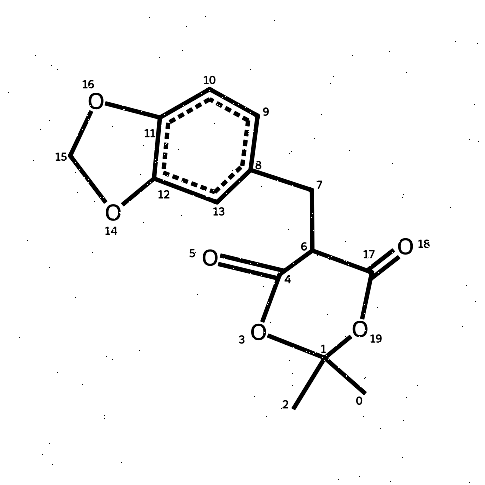 CC1(C)OC(=O)C(Cc2ccc3c(c2)OCO3)C(=O)O1